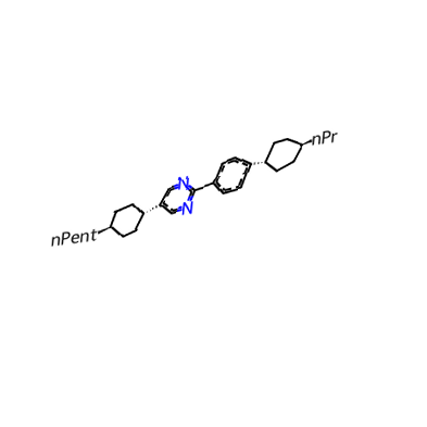 CCCCC[C@H]1CC[C@H](c2cnc(-c3ccc([C@H]4CC[C@H](CCC)CC4)cc3)nc2)CC1